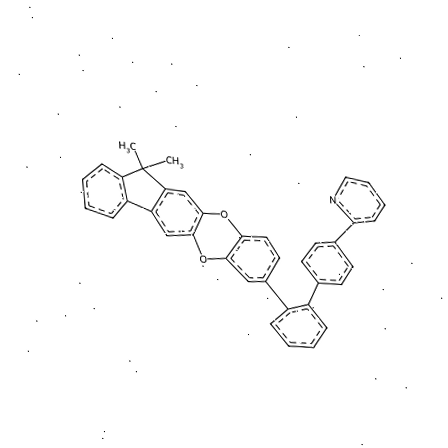 CC1(C)c2ccccc2-c2cc3c(cc21)Oc1ccc(-c2ccccc2-c2ccc(-c4ccccn4)cc2)cc1O3